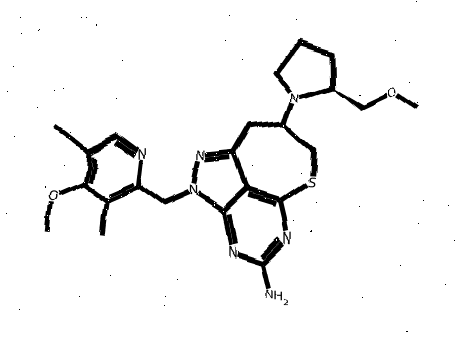 COC[C@@H]1CCCN1C1CSc2nc(N)nc3c2c(nn3Cc2ncc(C)c(OC)c2C)C1